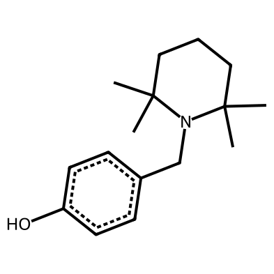 CC1(C)CCCC(C)(C)N1Cc1ccc(O)cc1